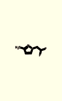 Cc1[c]cn(CC(F)F)n1